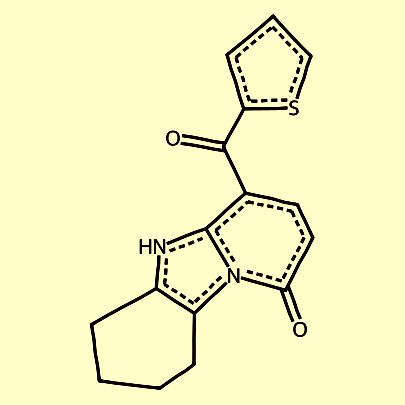 O=C(c1cccs1)c1ccc(=O)n2c3c([nH]c12)CCCC3